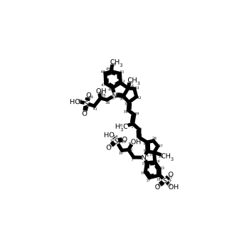 CC(/C=C/C1=C2N(CC(O)CS(=O)(=O)O)c3ccc(S(=O)(=O)O)cc3C2(C)CC1)=C\C=C1/CCC2(C)C1=[N+](CC(O)CS(=O)(=O)O)c1ccc(C)cc12